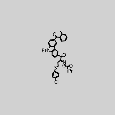 CCn1c2ccc(C(=O)/C(CCSc3ccc(Cl)cc3)=N/OC(=O)C(C)C)cc2c2cc(C(=O)c3ccccc3C)ccc21